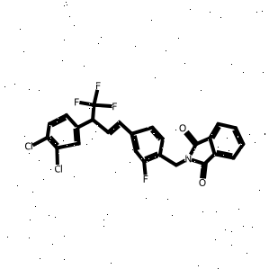 O=C1c2ccccc2C(=O)N1Cc1ccc(/C=C/C(c2ccc(Cl)c(Cl)c2)C(F)(F)F)cc1F